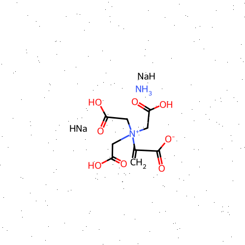 C=C(C(=O)[O-])[N+](CC(=O)O)(CC(=O)O)CC(=O)O.N.[NaH].[NaH]